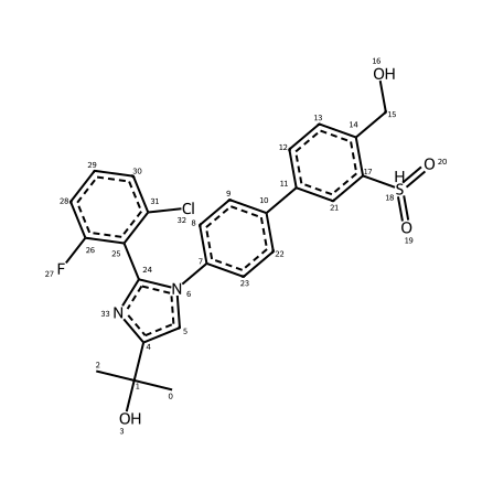 CC(C)(O)c1cn(-c2ccc(-c3ccc(CO)c([SH](=O)=O)c3)cc2)c(-c2c(F)cccc2Cl)n1